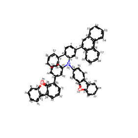 c1ccc(-c2ccc(-c3cc4ccccc4c4ccccc34)cc2N(c2cccc(-c3cccc4c3oc3ccccc34)c2)c2ccc3c(c2)oc2ccccc23)cc1